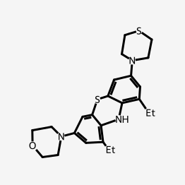 CCc1cc(N2CCOCC2)cc2c1Nc1c(CC)cc(N3CCSCC3)cc1S2